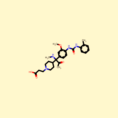 CNC(C(C)=O)(c1ccc(NC(=O)Nc2ccccc2C)c(OC)c1)C1CCN(CCC(=O)O)CC1